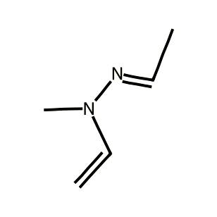 C=CN(C)/N=C/C